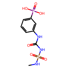 CNS(=O)(=O)NC(=O)Nc1cccc(P(=O)(O)O)c1